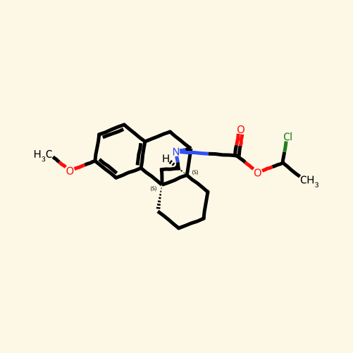 COc1ccc2c(c1)[C@]13CCCC[C@@H]1C(C2)N(C(=O)OC(C)Cl)CC3